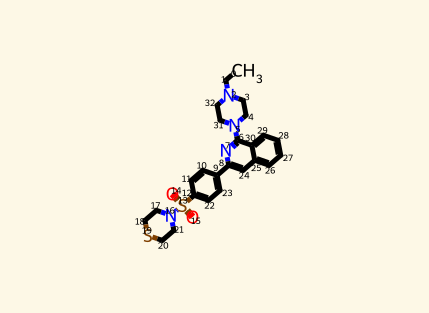 CCN1CCN(c2nc(-c3ccc(S(=O)(=O)N4CCSCC4)cc3)cc3ccccc23)CC1